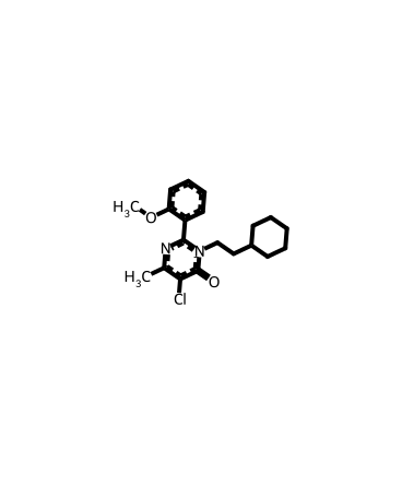 COc1ccccc1-c1nc(C)c(Cl)c(=O)n1CCC1CCCCC1